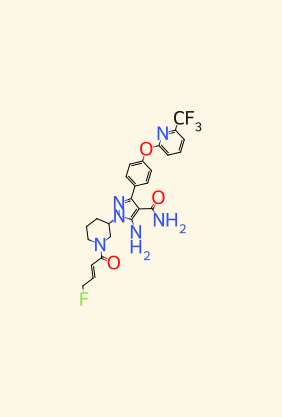 NC(=O)c1c(-c2ccc(Oc3cccc(C(F)(F)F)n3)cc2)nn([C@@H]2CCCN(C(=O)C=CCF)C2)c1N